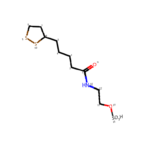 O=C(CCCCC1CCSS1)NCCOS(=O)(=O)O